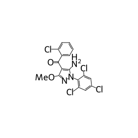 COc1nn(-c2c(Cl)cc(Cl)cc2Cl)c(N)c1C(=O)c1ccccc1Cl